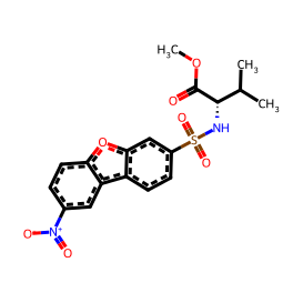 COC(=O)[C@@H](NS(=O)(=O)c1ccc2c(c1)oc1ccc([N+](=O)[O-])cc12)C(C)C